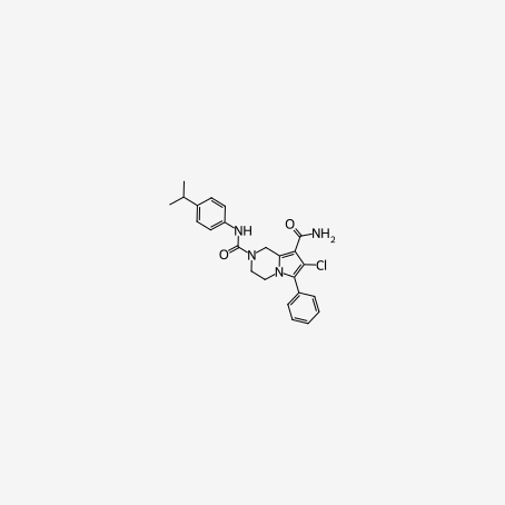 CC(C)c1ccc(NC(=O)N2CCn3c(c(C(N)=O)c(Cl)c3-c3ccccc3)C2)cc1